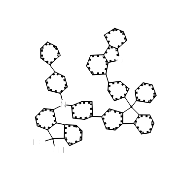 CC1(C)c2ccccc2-c2c(N(c3ccc(-c4ccccc4)cc3)c3ccc(-c4ccc5c(c4)C(c4ccccc4)(c4ccc(-c6cccc7c6oc6ccccc67)cc4)c4ccccc4-5)cc3)cccc21